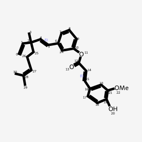 C=CC(C)(/C=C/c1cccc(OC(=O)/C=C/c2ccc(O)c(OC)c2)c1)CCC=C(C)C